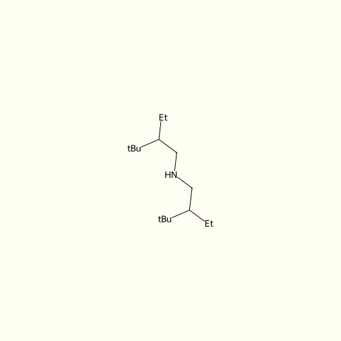 CCC(CNCC(CC)C(C)(C)C)C(C)(C)C